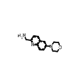 NCc1ccc2cc(N3CCOCC3)ccc2n1